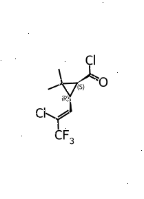 CC1(C)[C@H](C=C(Cl)C(F)(F)F)[C@@H]1C(=O)Cl